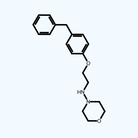 c1ccc(Cc2ccc(OCCNN3CCOCC3)cc2)cc1